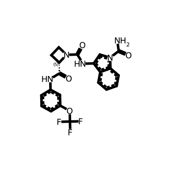 NC(=O)n1cc(NC(=O)N2CC[C@H]2C(=O)Nc2cccc(OC(F)(F)F)c2)c2ccccc21